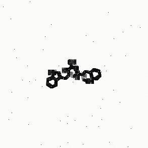 O=C(O)N[C@H](CN[C@@H](CO)Cc1ccccc1)Cc1c[nH]c2ccccc12